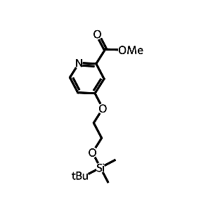 COC(=O)c1cc(OCCO[Si](C)(C)C(C)(C)C)ccn1